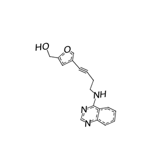 OCc1cc(C#CCCNc2ncnc3ccccc23)co1